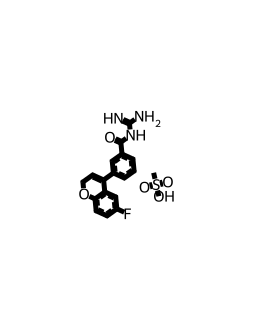 CS(=O)(=O)O.N=C(N)NC(=O)c1cccc(C2=CCOc3ccc(F)cc32)c1